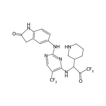 O=C1Cc2cc(Nc3ncc(C(F)(F)F)c(NC(C(=O)C(F)(F)F)C4CCCNC4)n3)ccc2N1